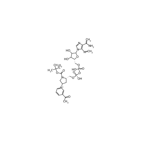 C=Nc1c(C(=C)N)ncn1C1O[C@H](COP(=O)(O)OP(=O)(O)OC[C@@H]2CC([n+]3cccc(C(C)=O)c3)CN2C(=O)OC(C)(C)C)C(O)C1O